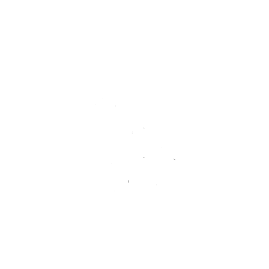 C=CC(=O)OCC(=O)OC12CC3CC(O)(CC(O)(C3)C1C)C2